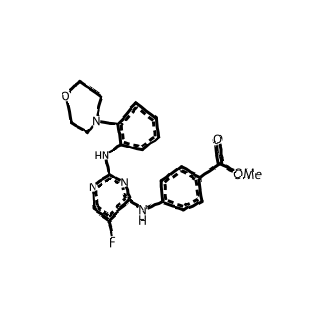 COC(=O)c1ccc(Nc2nc(Nc3ccccc3N3CCOCC3)ncc2F)cc1